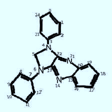 c1ccc(N2CN(c3ccccc3)c3nc4ccccc4nc32)cc1